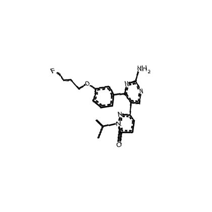 CC(C)n1nc(-c2cnc(N)nc2-c2cccc(OCCCF)c2)ccc1=O